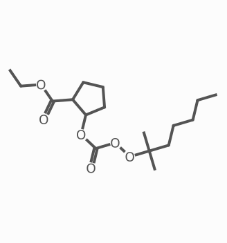 CCCCCC(C)(C)OOC(=O)OC1CCCC1C(=O)OCC